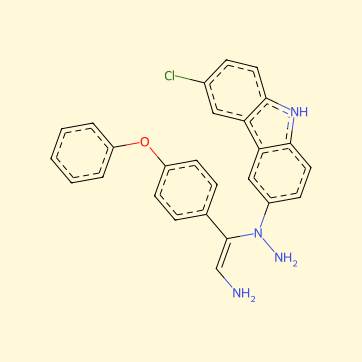 N/C=C(/c1ccc(Oc2ccccc2)cc1)N(N)c1ccc2[nH]c3ccc(Cl)cc3c2c1